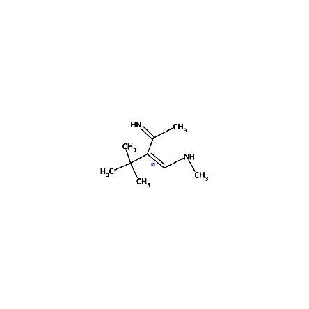 CN/C=C(\C(C)=N)C(C)(C)C